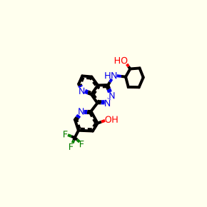 Oc1cc(C(F)(F)F)cnc1-c1nnc(NC2CCCCC2O)c2cccnc12